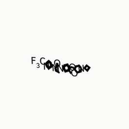 O=C1N(c2ccc(C(F)(F)F)nc2)CCN1c1ccc2c(c1)COC1(CCN(C3CCC3)CC1)O2